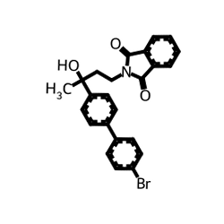 CC(O)(CCN1C(=O)c2ccccc2C1=O)c1ccc(-c2ccc(Br)cc2)cc1